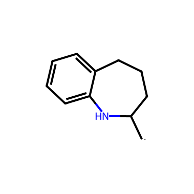 [CH2]C1CCCc2ccccc2N1